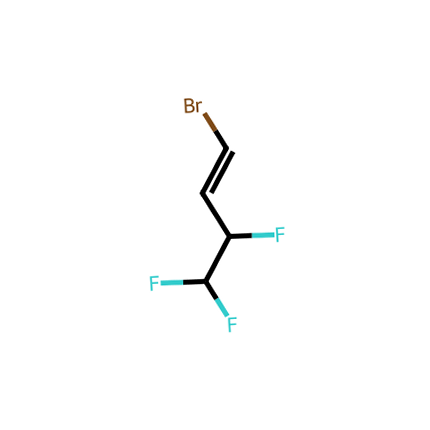 FC(F)C(F)C=CBr